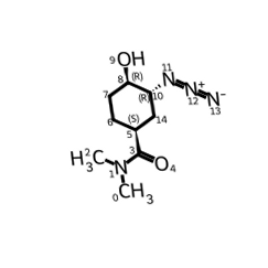 CN(C)C(=O)[C@H]1CC[C@@H](O)[C@H](N=[N+]=[N-])C1